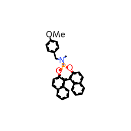 COc1ccc(CN(C)p2oc3ccc4ccccc4c3c3c(ccc4ccccc43)o2)cc1